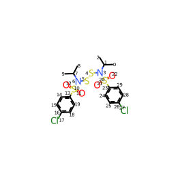 CC(C)N(SSN(C(C)C)S(=O)(=O)c1ccc(Cl)cc1)S(=O)(=O)c1ccc(Cl)cc1